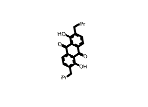 CC(C)Cc1ccc2c(c1O)C(=O)c1ccc(CC(C)C)c(O)c1C2=O